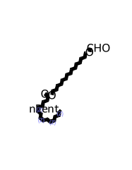 CCCCC/C=C\C/C=C\C/C=C\C/C=C\CCCC(=O)OCCCCCCCCCCCCCCCOC=O